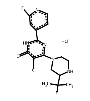 CC(C)(F)C1CN(c2nc(-c3ccnc(F)c3)[nH]c(=O)c2Cl)CCN1.Cl